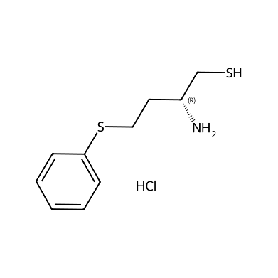 Cl.N[C@@H](CS)CCSc1ccccc1